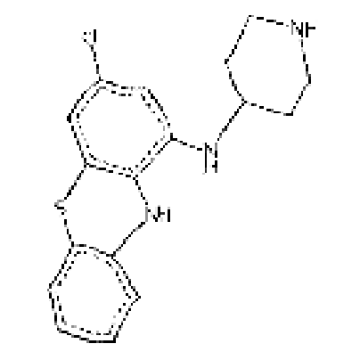 Clc1cc(NC2CCNCC2)c2c(c1)Sc1ccccc1N2